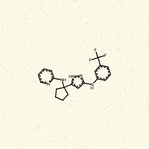 FC(F)(F)c1cccc(Nc2cc(C3(Nc4ccccn4)CCCC3)[nH]n2)c1